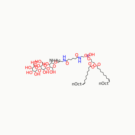 CCCCCCCC/C=C\CCCCCCCC(=O)OC[C@H](COP(O)OCCNC(=O)CCCCC(=O)NCCCO[C@@H]1OC(CO)[C@@H](O[C@@H]2OC(CO)[C@H](O)C(O[C@H]3OC(CO)[C@H](O)C(O)C3O)C2O)C(O)C1NC(C)=O)OC(=O)CCCCCCC/C=C\CCCCCCCC